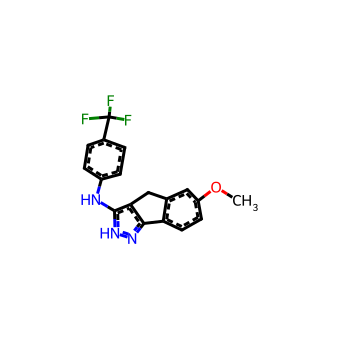 COc1ccc2c(c1)Cc1c-2n[nH]c1Nc1ccc(C(F)(F)F)cc1